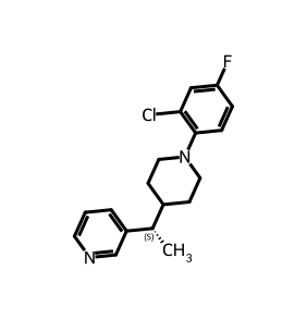 C[C@H](c1cccnc1)C1CCN(c2ccc(F)cc2Cl)CC1